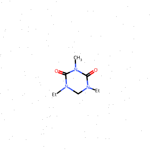 CCN1CN(CC)C(=O)N(C)C1=O